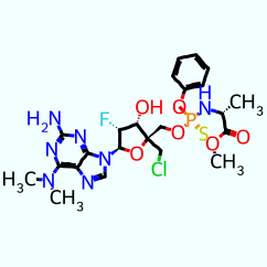 COC(=O)[C@@H](C)NP(=S)(OC[C@@]1(CCl)O[C@@H](n2cnc3c(N(C)C)nc(N)nc32)[C@H](F)[C@@H]1O)Oc1ccccc1